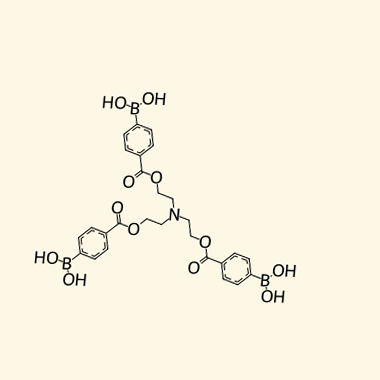 O=C(OCCN(CCOC(=O)c1ccc(B(O)O)cc1)CCOC(=O)c1ccc(B(O)O)cc1)c1ccc(B(O)O)cc1